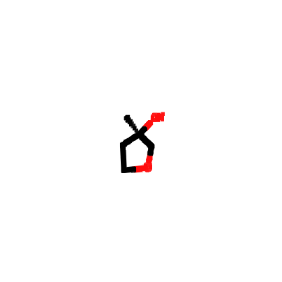 C[C@@]1(O)CCOC1